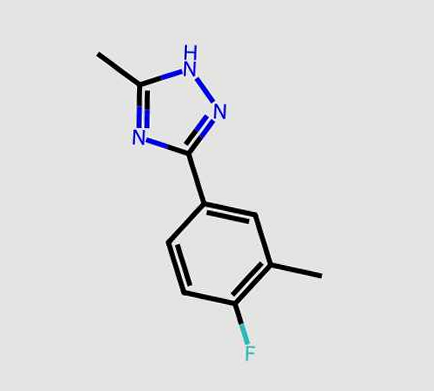 Cc1nc(-c2ccc(F)c(C)c2)n[nH]1